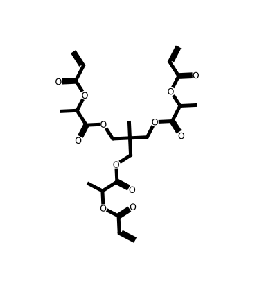 C=CC(=O)OC(C)C(=O)OCC(C)(COC(=O)C(C)OC(=O)C=C)COC(=O)C(C)OC(=O)C=C